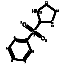 O=S(=O)(c1ccccc1)C1NCCS1